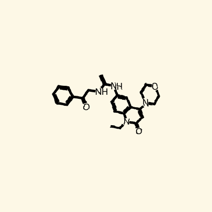 C=C(NCC(=O)c1ccccc1)Nc1ccc2c(c1)c(N1CCOCC1)cc(=O)n2CC